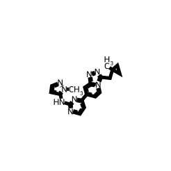 Cn1nccc1Nc1nccc(-c2ccn3c(CC4(C)CC4)nnc3c2)n1